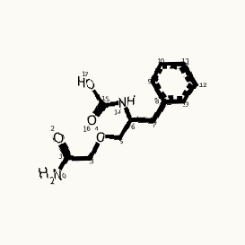 NC(=O)COCC(Cc1ccccc1)NC(=O)O